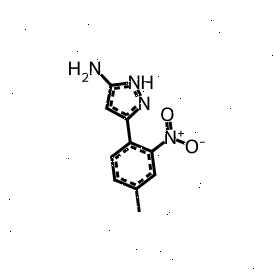 Cc1ccc(-c2cc(N)[nH]n2)c([N+](=O)[O-])c1